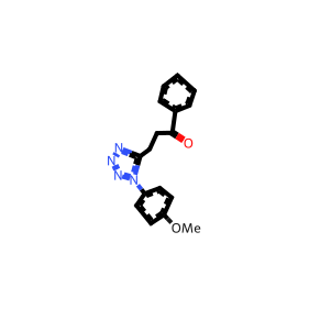 COc1ccc(-n2nnnc2CCC(=O)c2ccccc2)cc1